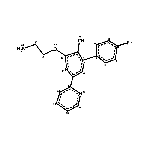 N#Cc1c(-c2ccc(F)cc2)cc(-c2ccccn2)nc1OCCN